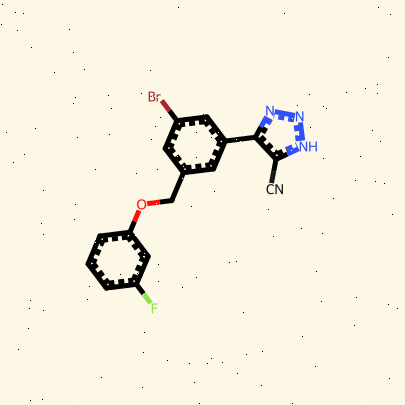 N#Cc1[nH]nnc1-c1cc(Br)cc(COc2cccc(F)c2)c1